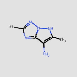 CCc1nc2c(N)c(C)[nH]n2n1